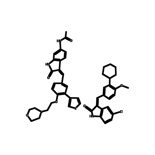 CC(=O)Nc1ccc2c(c1)NC(=O)/C2=C\c1ccc(OCCN2CCOCC2)c(-c2ccsc2)c1.COc1ccc(/C=C2/C(=O)Nc3ccc(Cl)cc32)cc1C1CCCCC1